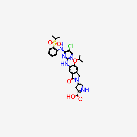 CC(C)Oc1cc2c(cc1Nc1ncc(Cl)c(Nc3ccccc3S(=O)(=O)C(C)C)n1)C(=O)N([C@@H]1CN[C@H](C(=O)O)C1)C2